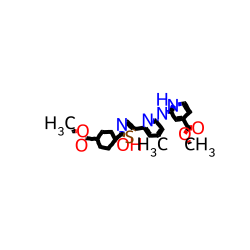 CCOC(=O)C1CCC(O)(c2ncc(-c3cc(C)cc(Nc4cc(C(=O)OC)ccn4)n3)s2)CC1